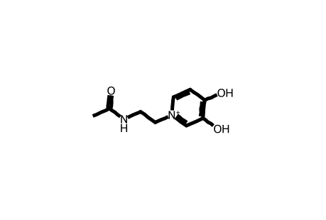 CC(=O)NCC[n+]1ccc(O)c(O)c1